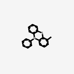 Cc1cccc2c1Sc1ccccc1N2c1ccccc1